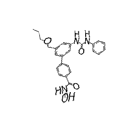 CCCOCc1cc(NC(=O)Nc2ccccc2)cc(-c2ccc(C(=O)NO)cc2)c1